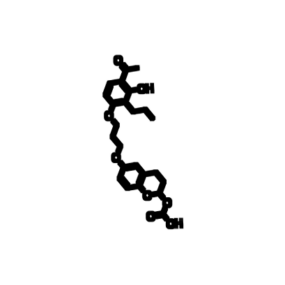 CCCc1c(OCCCOc2ccc3c(c2)CCC(OC(=O)O)O3)ccc(C(C)=O)c1O